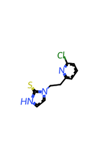 S=c1[nH]ccn1CCc1cccc(Cl)n1